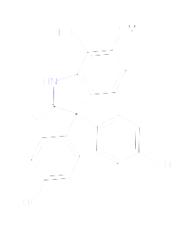 COc1ccc2c(c1C)NC(=O)C2(c1ccc(O)cc1)c1ccc(O)cc1